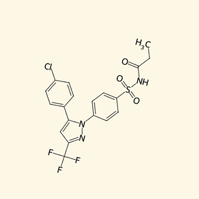 CCC(=O)NS(=O)(=O)c1ccc(-n2nc(C(F)(F)F)cc2-c2ccc(Cl)cc2)cc1